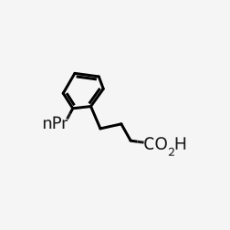 CCCc1ccccc1CCCC(=O)O